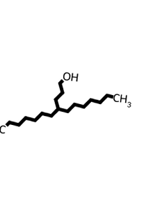 CCCCCCCC(CCCO)CCCCCCC